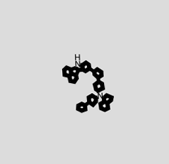 c1ccc(-c2ccc(N(c3ccc(-c4cccc(-c5ccc6[nH]c7c(c6c5)-c5cccc6cccc-7c56)c4)cc3)c3cccc4ccccc34)cc2)cc1